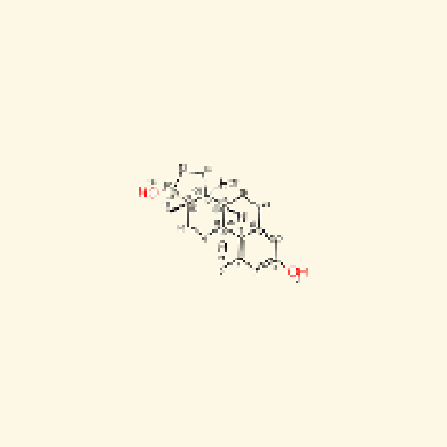 Cc1cc(O)cc2c1[C@H]1CC[C@]3(C)[C@H](O)CC[C@H]3[C@@H]1CC2